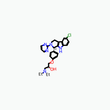 CCN(CC)C[C@H](O)COc1ccc([C@H]2c3[nH]c4ccc(Cl)cc4c3CCN2c2ncccn2)cc1